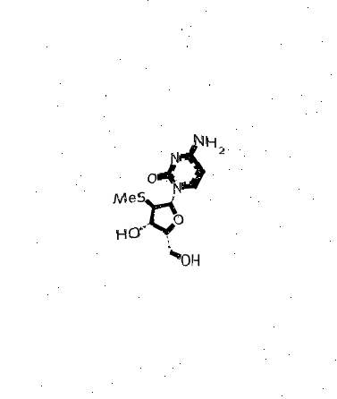 CSC1[C@@H](O)[C@@H](CO)O[C@H]1n1ccc(N)nc1=O